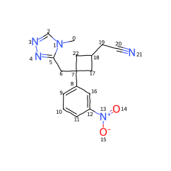 Cn1cnnc1CC1(c2cccc([N+](=O)[O-])c2)CC(CC#N)C1